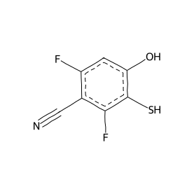 N#Cc1c(F)cc(O)c(S)c1F